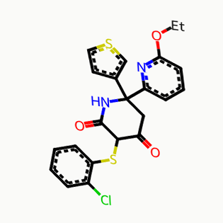 CCOc1cccc(C2(c3ccsc3)CC(=O)C(Sc3ccccc3Cl)C(=O)N2)n1